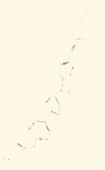 CCC(CC)(c1ccc(C#CC(OCOC)(C(F)(F)F)C(F)(F)F)c(C)c1)c1ccc(-c2ccc(CC(=O)OC)cc2)c(C)c1